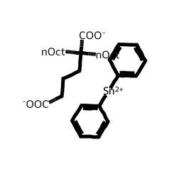 CCCCCCCCC(CCCCCCCC)(CCCC(=O)[O-])C(=O)[O-].c1cc[c]([Sn+2][c]2ccccc2)cc1